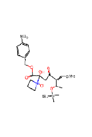 COC=C(C(=O)CC(O)(C(=O)OCc1ccc([N+](=O)[O-])cc1)[N+]1([O-])CCC1)C(C)O[Si](C)(C)C(C)(C)C